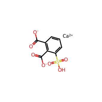 O=C([O-])c1cccc(S(=O)(=O)O)c1C(=O)[O-].[Ca+2]